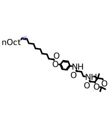 CCCCCCCC/C=C\CCCCCCCC(=O)Oc1ccc(NC(=O)CCNC(=O)C2OC(C)(C)OCC2(C)C)cc1